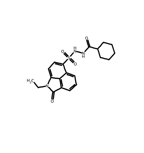 CCN1C(=O)c2cccc3c(S(=O)(=O)NNC(=O)C4CCCCC4)ccc1c23